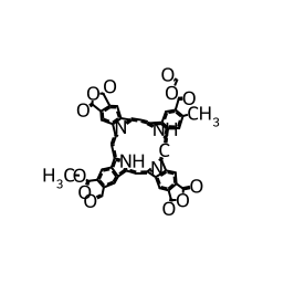 COC(=O)c1cc2c3cc4nc(cc5[nH]c(cc6nc(cc([nH]3)c2cc1C=O)-c1cc2c(cc1-6)C(=O)OC2=O)c1cc(C)c(C(=O)OC=O)cc51)-c1cc2c(cc1-4)C(=O)OC2=O